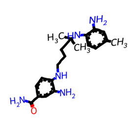 Cc1ccc(NC(C)(C)CCCNc2ccc(C(N)=O)cc2N)c(N)c1